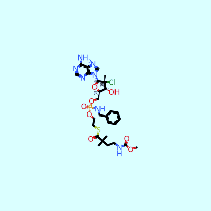 COC(=O)NCCC(C)(C)C(=O)SCCOP(=O)(NCc1ccccc1)OC[C@H]1O[C@@H](n2cnc3c(N)ncnc32)[C@](C)(Cl)[C@@H]1O